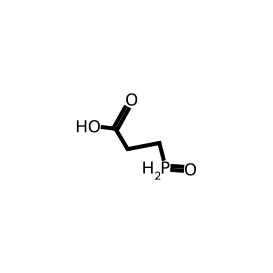 O=[PH2]CCC(=O)O